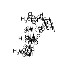 COc1ccc(C[C@H]2NC(=O)/C=C/C[C@@H](C(C)[C@H]3O[C@@H]3c3ccc(CNC(=O)C(CCCCNC(=O)[C@H]4O[C@@H](OC)[C@H](O)[C@@H](O)[C@@H]4O)NC(=O)C(NC(=O)CCCC(=O)O)C(C)C)cc3)OC(=O)[C@H](CC(C)C)OC(=O)C(C)(C)CNC2=O)cc1Cl